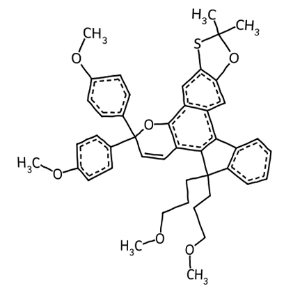 COCCCC1(CCCOC)c2ccccc2-c2c1c1c(c3cc4c(cc23)OC(C)(C)S4)OC(c2ccc(OC)cc2)(c2ccc(OC)cc2)C=C1